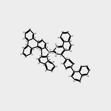 c1ccc2c(-c3ccc(-c4nc(-n5c6ccc7c8ccccc8c8ccccc8c7c6c6ccc7ccccc7c65)nc5c4ccc4ccccc45)cc3)cccc2c1